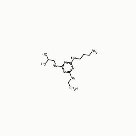 NCCCNc1nc(NCC(=O)O)nc(NCC(O)O)n1